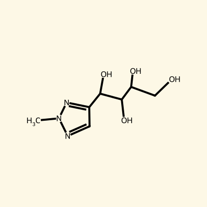 Cn1ncc(C(O)C(O)C(O)CO)n1